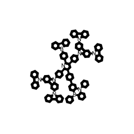 c1ccc(B2c3ccccc3N(c3ccccc3)c3cc(-c4ccc(-c5cc(-c6ccc(-n7c8ccc(-n9c%10ccccc%10c%10ccccc%109)cc8c8cc(-n9c%10ccccc%10c%10ccccc%109)ccc87)cc6)c(-c6ccc(B7c8ccccc8-c8ccccc87)cc6)nc5-c5ccc(-n6c7ccc(-n8c9ccccc9c9ccccc98)cc7c7cc(-n8c9ccccc9c9ccccc98)ccc76)cc5)cc4)ccc32)cc1